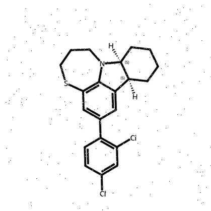 Clc1ccc(-c2cc3c4c(c2)[C@@H]2CCCC[C@@H]2N4CCCS3)c(Cl)c1